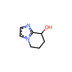 OC1CCCn2ccnc21